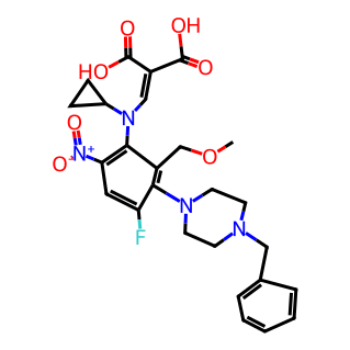 COCc1c(N2CCN(Cc3ccccc3)CC2)c(F)cc([N+](=O)[O-])c1N(C=C(C(=O)O)C(=O)O)C1CC1